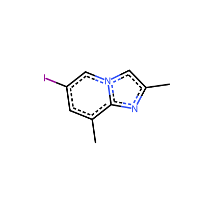 Cc1cn2cc(I)cc(C)c2n1